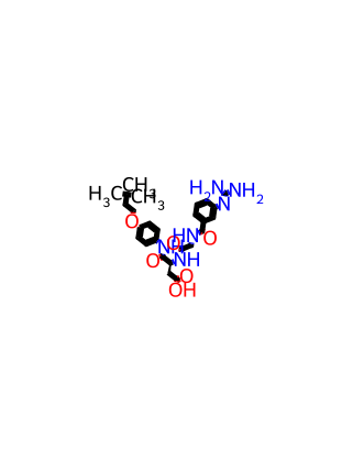 CC(C)(C)CCOc1ccc(NC(=O)[C@H](CC(=O)O)NC(=O)CNC(=O)c2cccc(N=C(N)N)c2)cc1